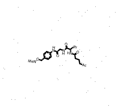 CNOCc1ccc(NC(=O)CNC(=O)C(NC(=O)CCCC(C)=O)C(C)C)cc1